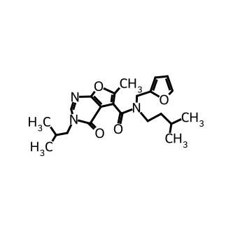 Cc1oc2ncn(CC(C)C)c(=O)c2c1C(=O)N(CCC(C)C)Cc1ccco1